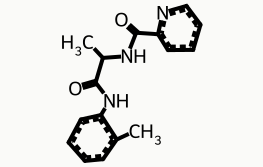 Cc1ccccc1NC(=O)C(C)NC(=O)c1ccccn1